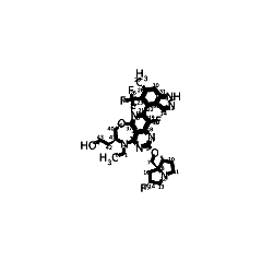 CCN1c2nc(OC[C@@]34CCCN3C[C@H](F)C4)nc3c(F)c(-c4c(C(F)(F)F)c(C)cc5[nH]ncc45)nc(c23)OC[C@@H]1CCO